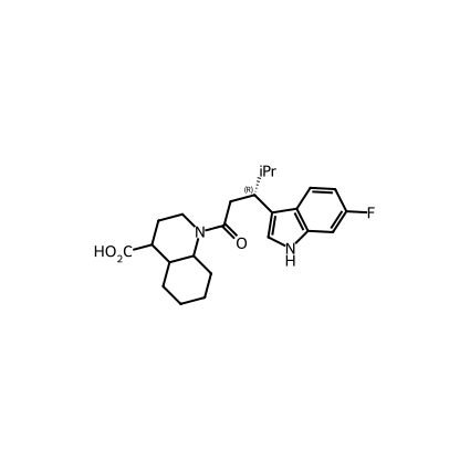 CC(C)[C@@H](CC(=O)N1CCC(C(=O)O)C2CCCCC21)c1c[nH]c2cc(F)ccc12